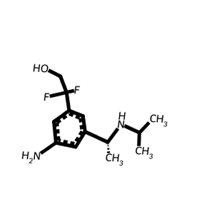 CC(C)N[C@H](C)c1cc(N)cc(C(F)(F)CO)c1